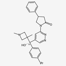 CC(C)c1ccc([C@](O)(c2cnnc(N3CC(c4ccccc4)CC3=O)c2)C2(C)CN(C)C2)cc1